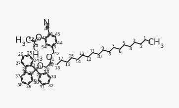 CCCCCCCCCCCCCCCCCCC[C@H](COC(c1ccccc1)(c1ccccc1)c1ccccc1)OCc1ccc(C#N)c(OC(C)C)c1